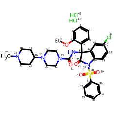 CCOc1ccccc1C1(NC(=O)N2CCN(C3CCN(C)CC3)CC2)C(=O)N(S(=O)(=O)c2ccccc2)c2ccc(Cl)cc21.Cl.Cl